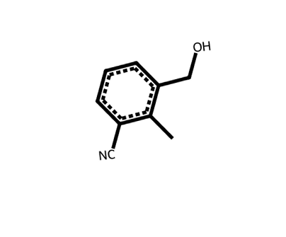 Cc1c(C#N)cccc1CO